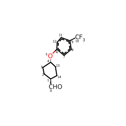 O=C[C@H]1CC[C@H](Oc2ccc(C(F)(F)F)cc2)CC1